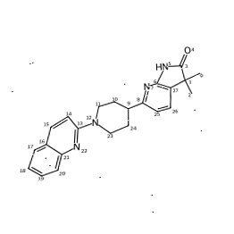 CC1(C)C(=O)Nc2nc(C3CCN(c4ccc5ccccc5n4)CC3)ccc21